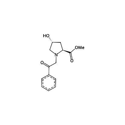 COC(=O)[C@@H]1C[C@@H](O)CN1CC(=O)c1ccccc1